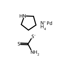 C1CCNC1.NC(=S)[S-].[NH4+].[Pd]